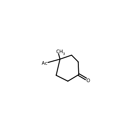 CC(=O)C1(C)CCC(=O)CC1